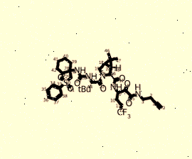 C#CCCNC(=O)C(=O)C(CCC(F)(F)F)NC(=O)[C@@H]1[C@@H]2C(CN1C(=O)[C@@H](NC(=O)NC1(CS(=O)(=O)c3ccccc3)CCCCC1)C(C)(C)C)C2(C)C